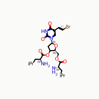 CC(C)C[C@H](N)C(=O)OC[C@@H]1O[C@H](n2cc(/C=C/Br)c(=O)[nH]c2=O)CC1OC(=O)[C@@H](N)CC(C)C